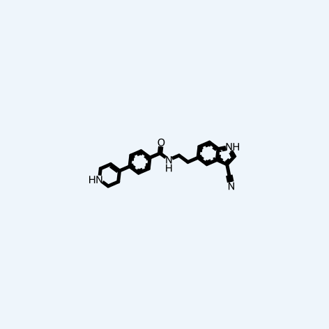 N#Cc1c[nH]c2ccc(CCNC(=O)c3ccc(C4=CCNCC4)cc3)cc12